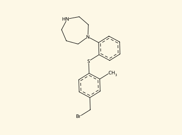 Cc1cc(CBr)ccc1Sc1ccccc1N1CCCNCC1